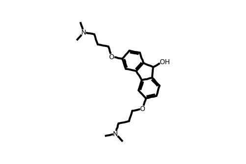 CN(C)CCCOc1ccc2c(c1)-c1cc(OCCCN(C)C)ccc1C2O